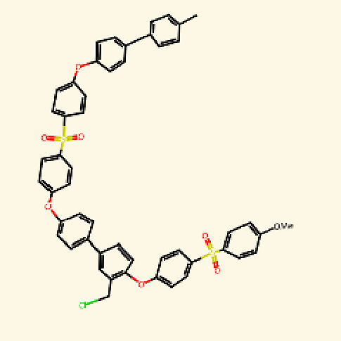 COc1ccc(S(=O)(=O)c2ccc(Oc3ccc(-c4ccc(Oc5ccc(S(=O)(=O)c6ccc(Oc7ccc(-c8ccc(C)cc8)cc7)cc6)cc5)cc4)cc3CCl)cc2)cc1